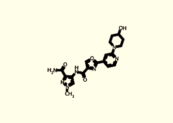 Cn1cc(NC(=O)c2coc(-c3ccnc(N4CCC(O)CC4)c3)n2)c(C(N)=O)n1